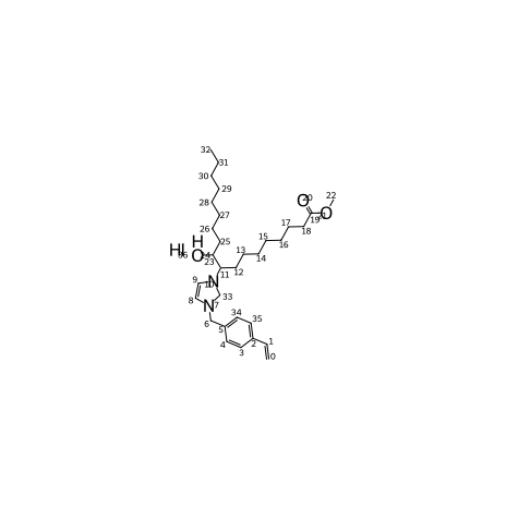 C=Cc1ccc(CN2C=CN(C(CCCCCCCC(=O)OC)C(O)CCCCCCCC)C2)cc1.I